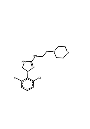 Clc1cccc(Cl)c1C1CNC(NCCN2CCOCC2)=N1